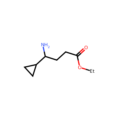 CCOC(=O)CCC(N)C1CC1